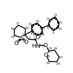 O=C(CC1(c2ccc(-c3ccccc3)cc2)CCCCS1(=O)=O)NOC1CCCCO1